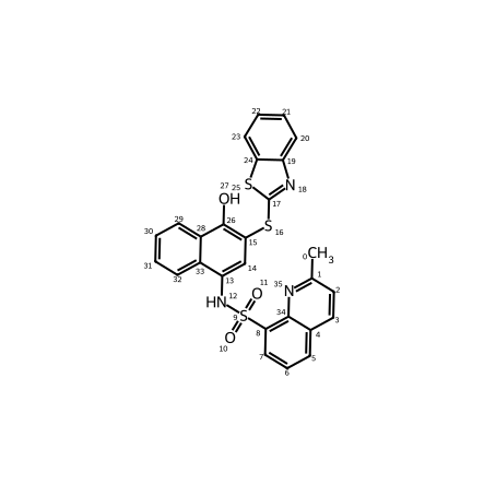 Cc1ccc2cccc(S(=O)(=O)Nc3cc(Sc4nc5ccccc5s4)c(O)c4ccccc34)c2n1